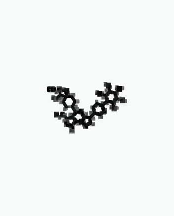 [2H]c1c([2H])c([2H])c(-c2ccc(-c3cnn4c3nc(C3CCC([2H])(C([2H])C(=O)O)CC3)c3c(C)n[nH]c34)cn2)c([2H])c1[2H]